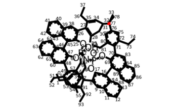 CCC1=CC(CC)C(c2cc3ccccc3c3c2OP(=O)(N=P2(O)Oc4c(C5=C(C)CC(CC)C=C5CC)cc5ccccc5c4-c4c(c(-c5c(CC)cc(C)cc5CC)cc5ccccc45)O2)Oc2c(-c4c(CC)cc(CC)cc4CC)cc4ccccc4c2-3)C(CC)=C1